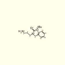 CC(C)(C)OC(=O)N(CCCN)Cc1ccccc1